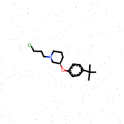 CC(C)(C)c1ccc(O[C@@H]2CCCN(CCCCl)C2)cc1